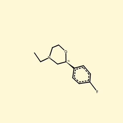 CCN1CCO[C@@H](c2ccc(F)cc2)C1